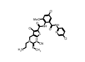 CN=C(NC#N)N(CCN)Cc1csc(C(=O)Nc2c(OC)cc(Cl)cc2C(=O)Nc2ccc(Cl)cn2)c1Cl